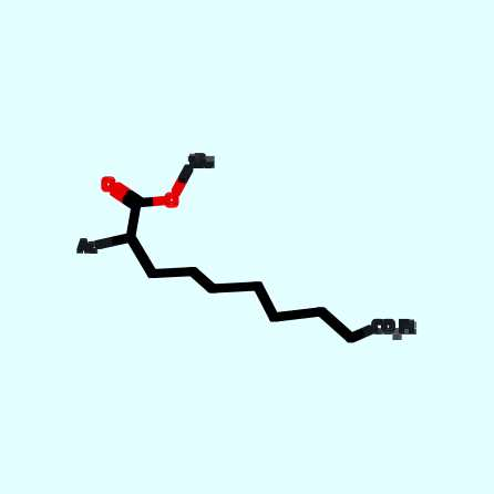 CCOC(=O)CCCCCCCC(C(C)=O)C(=O)OC(C)(C)C